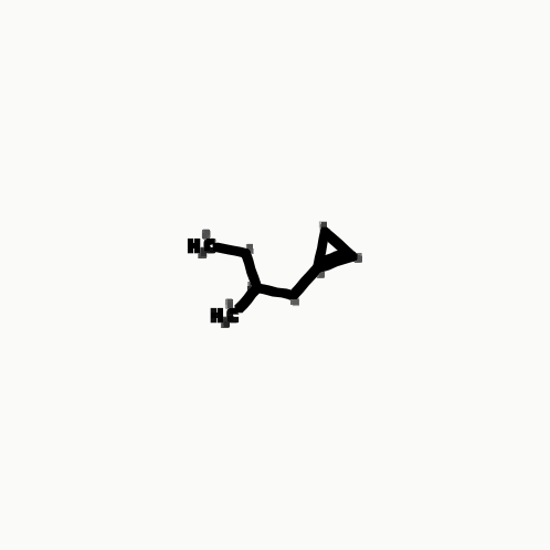 CCC(C)CC1=CC1